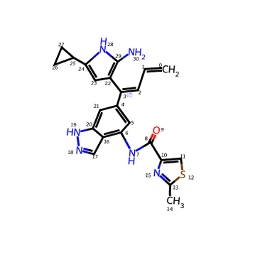 C=C/C=C(/c1cc(NC(=O)c2csc(C)n2)c2cn[nH]c2c1)c1cc(C2CC2)[nH]c1N